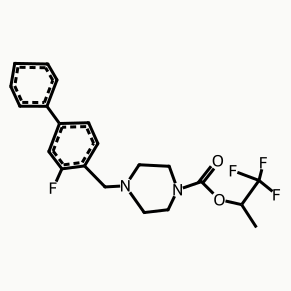 CC(OC(=O)N1CCN(Cc2ccc(-c3ccccc3)cc2F)CC1)C(F)(F)F